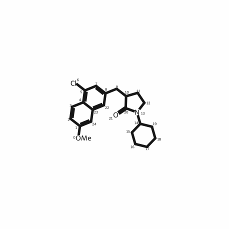 COc1ccc2c(Cl)cc(CC3CCN(C4CCCCC4)C3=O)cc2c1